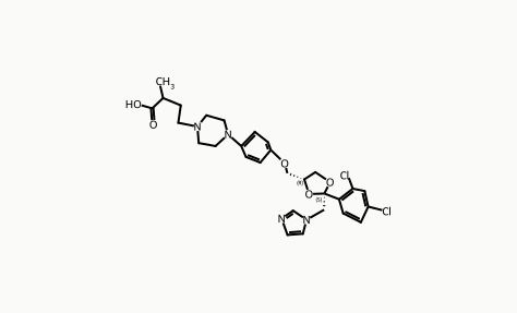 CC(CCN1CCN(c2ccc(OC[C@@H]3CO[C@@](Cn4ccnc4)(c4ccc(Cl)cc4Cl)O3)cc2)CC1)C(=O)O